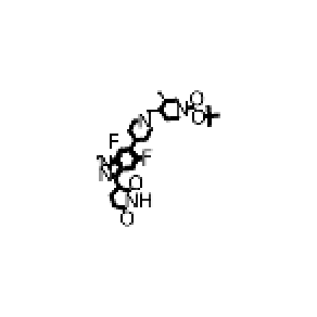 C[C@H]1CN(C(=O)OC(C)(C)C)CC[C@H]1CN1CCC(c2c(F)cc3c(C4CCC(=O)NC4=O)nn(C)c3c2F)CC1